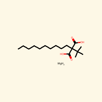 CCCCCCCCCCC(C(=O)O)(C(=O)O)C(C)(C)C.[MgH2]